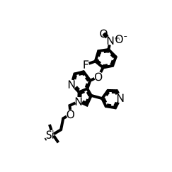 C[Si](C)(C)CCOCn1cc(-c2ccncc2)c2c(Oc3ccc([N+](=O)[O-])cc3F)ccnc21